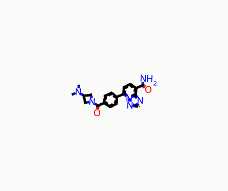 CN(C)C1CN(C(=O)c2ccc(-c3ccc(C(N)=O)c4n[c]nn34)cc2)C1